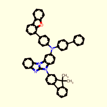 CC1(C)c2ccccc2-c2ccc(-n3c4ccc(N(c5ccc(-c6ccccc6)cc5)c5ccc(-c6cccc7c6oc6ccccc67)cc5)cc4n4c5ccccc5nc34)cc21